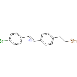 SCCc1ccc(/C=C/c2ccc(Br)cc2)cc1